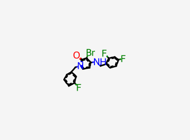 O=c1c(Br)c(NCc2ccc(F)cc2F)ccn1Cc1cccc(F)c1